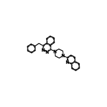 c1ccc(Cc2nnc(N3CCN(c4ccc5ccccc5n4)CC3)c3ccccc23)cc1